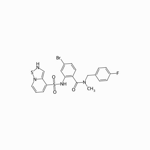 CN(Cc1ccc(F)cc1)C(=O)c1ccc(Br)cc1NS(=O)(=O)C1=CC=CN2SNC=C12